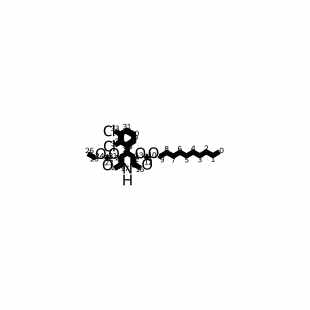 CCCCCCCCCCOC(=O)OC1=C(C)NC(C)=C(OC(=O)OCC)C1c1cccc(Cl)c1Cl